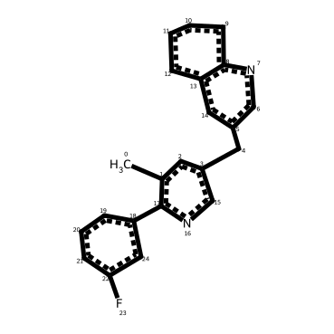 Cc1cc(Cc2cnc3ccccc3c2)cnc1-c1cccc(F)c1